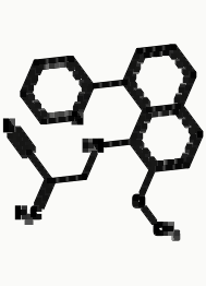 C=C(C#N)CNc1c(OC)ccc2cccc(-c3ccccn3)c12